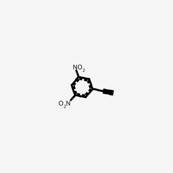 C#Cc1cc([N+](=O)[O-])cc([N+](=O)[O-])c1